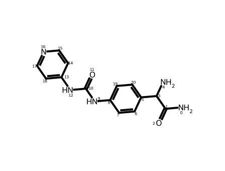 NC(=O)C(N)c1ccc(NC(=O)Nc2ccncc2)cc1